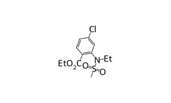 CCOC(=O)c1ccc(Cl)cc1N(CC)S(C)(=O)=O